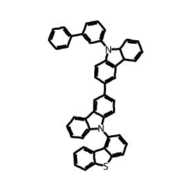 C1=CC2c3cc(-c4ccc5c(c4)c4ccccc4n5-c4cccc5sc6ccccc6c45)ccc3N(c3cccc(-c4ccccc4)c3)C2C=C1